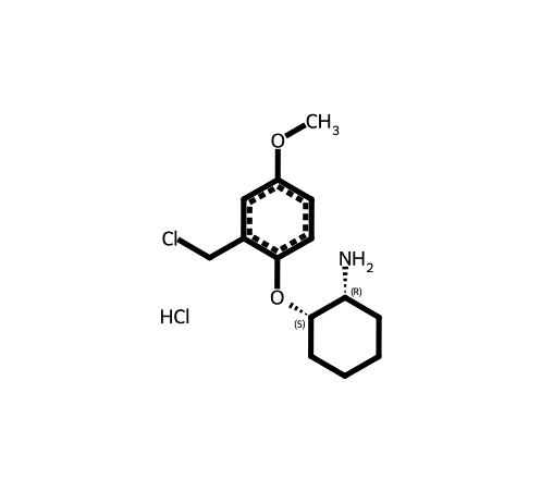 COc1ccc(O[C@H]2CCCC[C@H]2N)c(CCl)c1.Cl